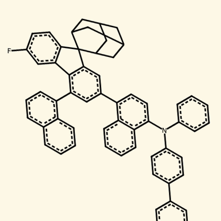 Fc1ccc2c(c1)-c1c(-c3cccc4ccccc34)cc(-c3ccc(N(c4ccccc4)c4ccc(-c5ccccc5)cc4)c4ccccc34)cc1C21C2CC3CC(C2)CC1C3